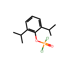 CC(C)c1cccc(C(C)C)c1OP(=O)(Cl)Cl